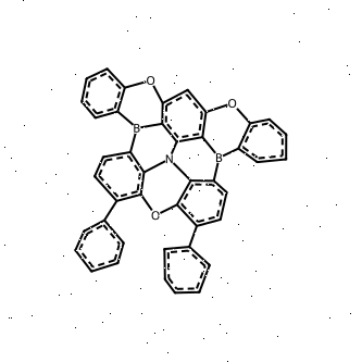 c1ccc(-c2ccc3c4c2Oc2c(-c5ccccc5)ccc5c2N4c2c4c(cc6c2B5c2ccccc2O6)Oc2ccccc2B34)cc1